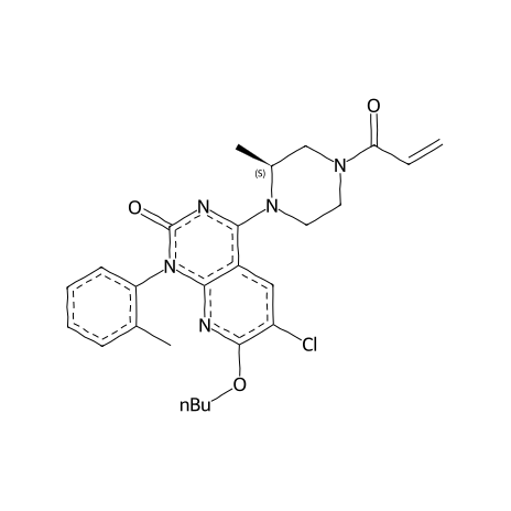 C=CC(=O)N1CCN(c2nc(=O)n(-c3ccccc3C)c3nc(OCCCC)c(Cl)cc23)[C@@H](C)C1